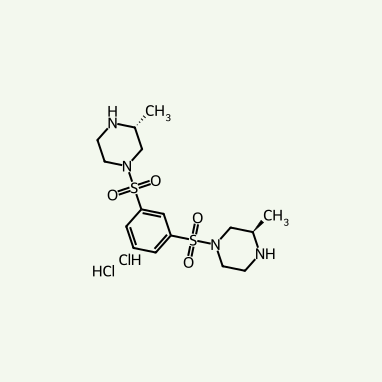 C[C@@H]1CN(S(=O)(=O)c2cccc(S(=O)(=O)N3CCN[C@H](C)C3)c2)CCN1.Cl.Cl